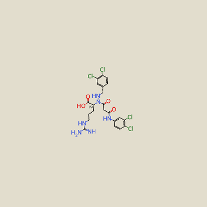 N=C(N)NCCC[C@@H](C(=O)O)N(NCc1ccc(Cl)c(Cl)c1)C(=O)CC(=O)Nc1ccc(Cl)c(Cl)c1